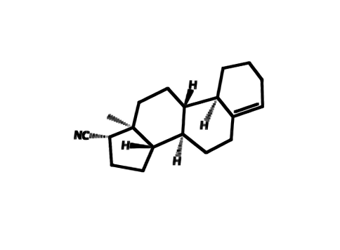 C[C@]12CC[C@H]3[C@@H](CCC4=CCCC[C@@H]43)[C@@H]1CC[C@@H]2C#N